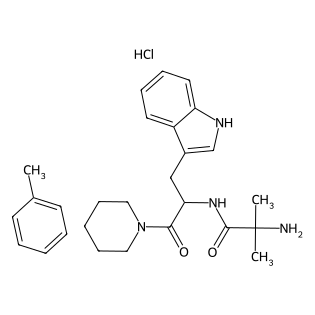 CC(C)(N)C(=O)NC(Cc1c[nH]c2ccccc12)C(=O)N1CCCCC1.Cc1ccccc1.Cl